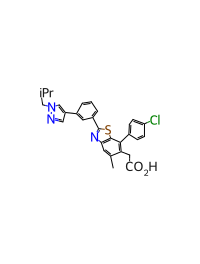 Cc1cc2nc(-c3cccc(-c4cnn(CC(C)C)c4)c3)sc2c(-c2ccc(Cl)cc2)c1CC(=O)O